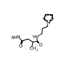 CNC(=O)CC(C)C(=O)NCCCn1cccc1